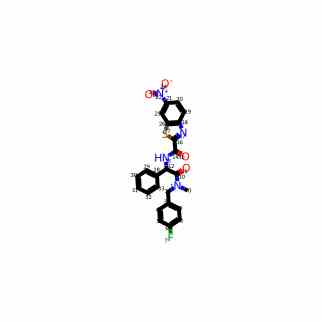 CN(Cc1ccc(F)cc1)C(=O)C(NC(=O)c1nc2ccc([N+](=O)[O-])cc2s1)c1ccccc1